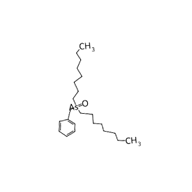 CCCCCCCC[As](=O)(CCCCCCCC)Cc1ccccc1